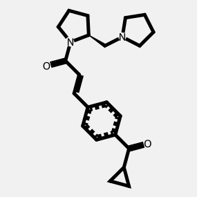 O=C(c1ccc(/C=C/C(=O)N2CCC[C@H]2CN2CCCC2)cc1)C1CC1